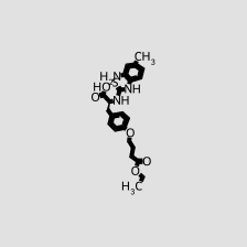 CCOC(=O)CCCOc1ccc(C[C@H](NC(=S)Nc2ccc(C)cc2N)C(=O)O)cc1